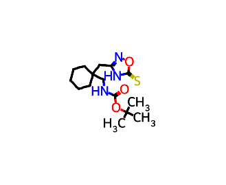 CC(C)(C)OC(=O)NCC1(Cc2noc(=S)[nH]2)CCCCC1